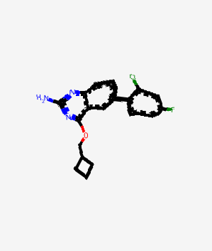 Nc1nc(OCC2CCC2)c2cc(-c3ccc(F)cc3Cl)ccc2n1